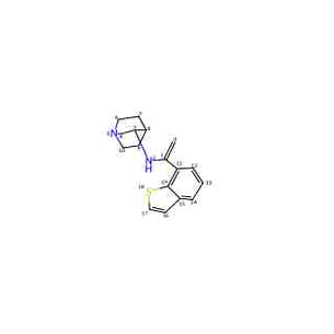 C=C(NC1CN2CCC1CC2)c1cccc2ccsc12